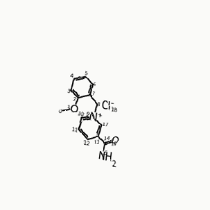 COc1ccccc1C[n+]1cccc(C(N)=O)c1.[Cl-]